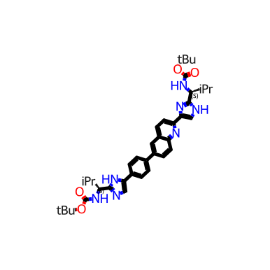 CC(C)[C@H](NC(=O)OC(C)(C)C)c1nc(-c2ccc3cc(-c4ccc(-c5cnc([C@@H](NC(=O)OC(C)(C)C)C(C)C)[nH]5)cc4)ccc3n2)c[nH]1